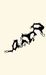 CN1CC(c2c(Cl)cccc2Cl)=Cc2cnc(Nc3cccc(CO)c3)nc21